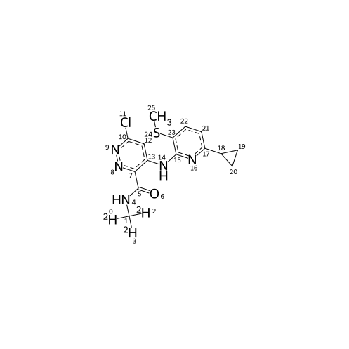 [2H]C([2H])([2H])NC(=O)c1nnc(Cl)cc1Nc1nc(C2CC2)ccc1SC